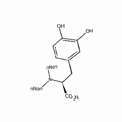 CCCCCCCCCN(CCCCCCCCC)[C@@H](Cc1ccc(O)c(O)c1)C(=O)O